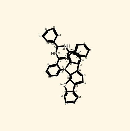 c1ccc(C2N=C(c3ccccc3-n3c4ccccc4c4ccc5c6ccccc6sc5c43)NC(c3ccccc3)N2)cc1